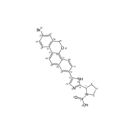 O=C(O)N1CCCC1c1ncc(-c2ccc3c4c(ccc3c2)-c2ccc(Br)cc2CO4)[nH]1